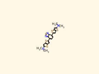 CN(C)c1cc2sc(-c3ccc(-c4cc5sc(N(C)C)cc5s4)c4nsnc34)cc2s1